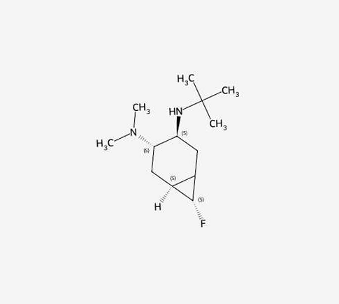 CN(C)[C@H]1C[C@H]2C(C[C@@H]1NC(C)(C)C)[C@@H]2F